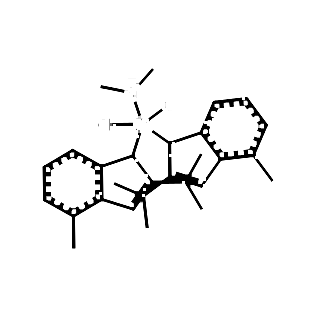 Cc1cccc2c1C=C(C(C)C)[CH]2[Zr]([Cl])([Cl])([CH]1C(C(C)C)=Cc2c(C)cccc21)[SiH](C)C